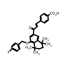 CC1(C)CCC(C)(C)c2c(OCc3ccc(F)cc3)cc(C(=O)/C=C/c3ccc(C(=O)O)cc3)cc21